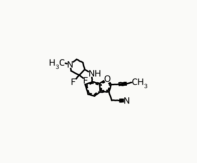 CC#Cc1oc2c(NC3CCN(C)CC3(F)F)cccc2c1CC#N